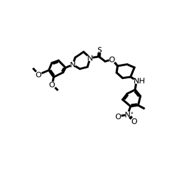 COc1ccc(N2CCN(C(=S)COC3CCC(Nc4ccc([N+](=O)[O-])c(C)c4)CC3)CC2)cc1OC